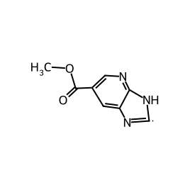 COC(=O)c1cnc2[nH][c]nc2c1